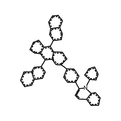 C1=Cc2ccccc2N(c2ccccc2)C=1c1ccc(-c2ccc3c(-c4ccc5ccccc5c4)c4ccccc4c(-c4ccc5ccccc5c4)c3c2)cc1